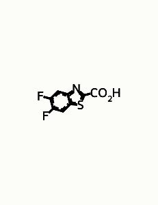 O=C(O)c1nc2cc(F)c(F)cc2s1